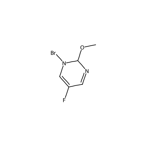 COC1N=CC(F)=CN1Br